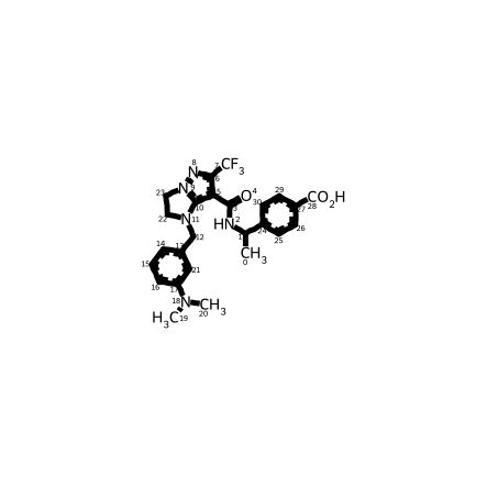 CC(NC(=O)c1c(C(F)(F)F)nn2c1N(Cc1cccc(N(C)C)c1)CC2)c1ccc(C(=O)O)cc1